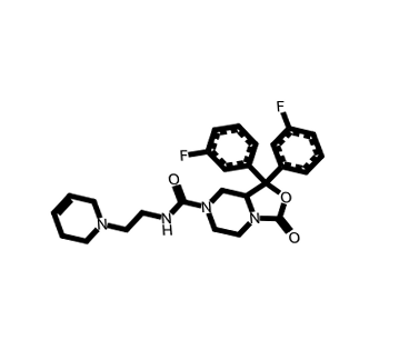 O=C(NCCN1CC=CCC1)N1CCN2C(=O)OC(c3cccc(F)c3)(c3cccc(F)c3)C2C1